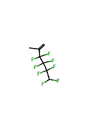 C=C(C)C(F)(F)C(F)(F)C(F)(F)C(F)F